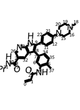 C=CC(=O)Nc1cc(-c2c(-c3ccc(N4CCN(C)CC4)cc3)[nH]c3ncc(C(=O)NC(C)C)cc23)ccc1C